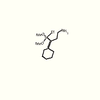 CC[Si](OC)(OC)C(CCN)=C1CCCCC1